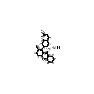 Br.O=c1ccc2ccc(-c3c(I)ccc4oc5ccccc5c(=O)c34)cc2o1